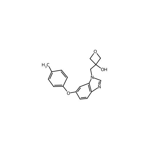 Cc1ccc(Oc2ccc3ncn(CC4(O)COC4)c3c2)cc1